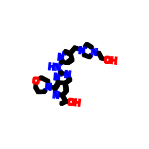 CC(O)c1cc2cnc(Nc3ccc(CN4CCN(CCO)CC4)cn3)nc2c(N2CCCOCC2)n1